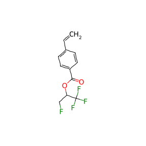 C=Cc1ccc(C(=O)OC(CF)C(F)(F)F)cc1